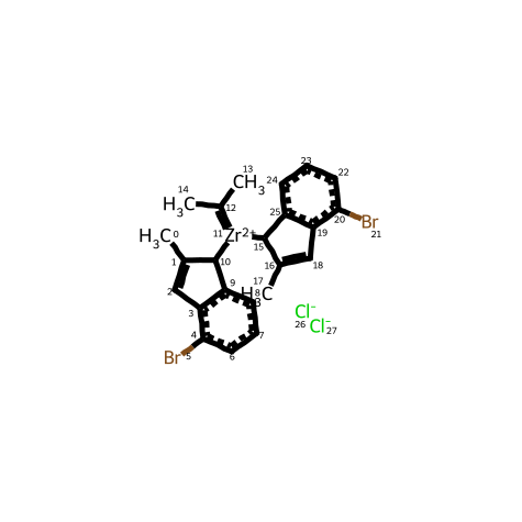 CC1=Cc2c(Br)cccc2[CH]1[Zr+2](=[C](C)C)[CH]1C(C)=Cc2c(Br)cccc21.[Cl-].[Cl-]